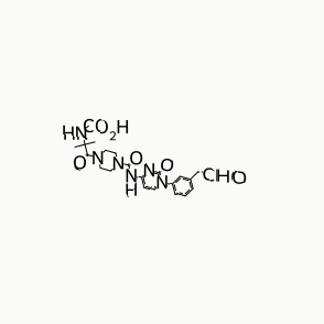 CC(C)(NC(=O)O)C(=O)N1CCN(C(=O)Nc2ccn(-c3cccc(CC=O)c3)c(=O)n2)CC1